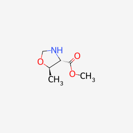 COC(=O)[C@H]1NCO[C@@H]1C